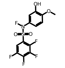 COc1ccc(N(F)S(=O)(=O)c2cc(F)c(F)c(F)c2F)cc1O